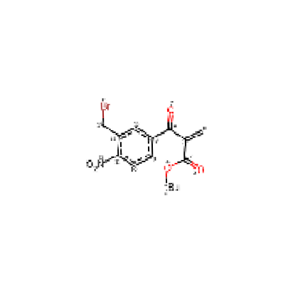 C=C(C(=O)OC(C)(C)C)C(=O)c1ccc([N+](=O)[O-])c(CBr)c1